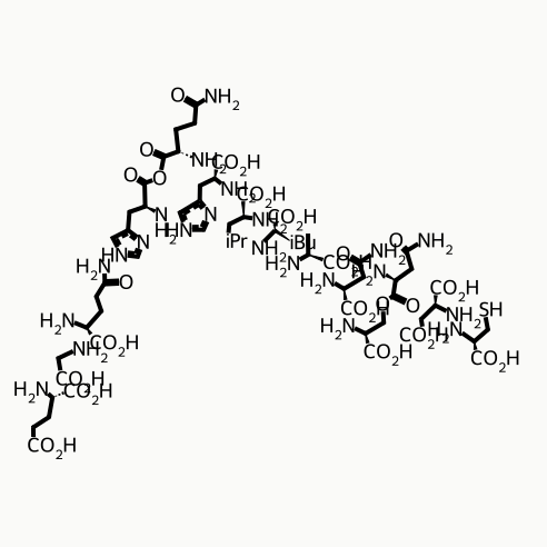 CC(C)C[C@H](N)C(=O)O.CC[C@H](C)[C@H](N)C(=O)O.C[C@H](N)C(=O)O.NC(=O)CC[C@H](N)C(=O)O.NC(=O)CC[C@H](N)C(=O)OC(=O)[C@@H](N)Cc1c[nH]cn1.NC(=O)C[C@H](N)C(=O)O.NC(=O)C[C@H](N)C(=O)OC[C@H](N)C(=O)O.NCC(=O)O.N[C@@H](CC(=O)O)C(=O)O.N[C@@H](CCC(=O)O)C(=O)O.N[C@@H](CS)C(=O)O.N[C@@H](Cc1c[nH]cn1)C(=O)O